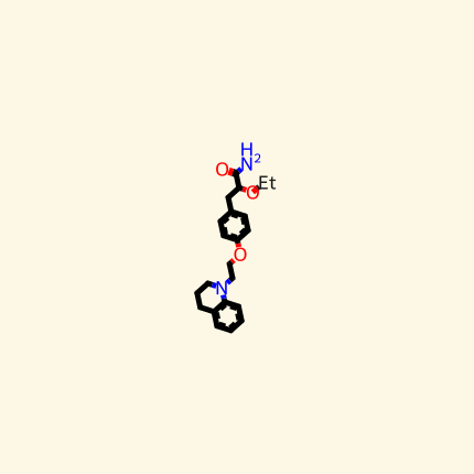 CCOC(Cc1ccc(OCCN2CCCc3ccccc32)cc1)C(N)=O